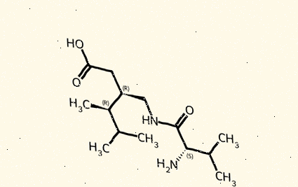 CC(C)[C@H](N)C(=O)NC[C@H](CC(=O)O)[C@H](C)C(C)C